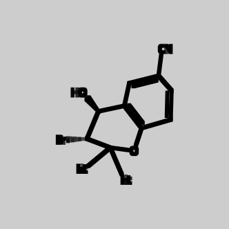 CCC1(CC)Oc2ccc(C#N)cc2[C@H](O)[C@H]1Br